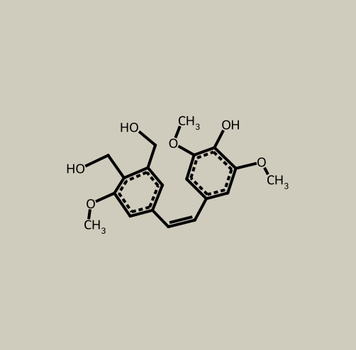 COc1cc(/C=C\c2cc(CO)c(CO)c(OC)c2)cc(OC)c1O